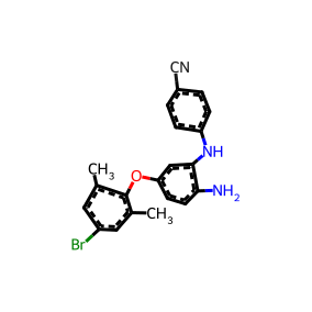 Cc1cc(Br)cc(C)c1Oc1ccc(N)c(Nc2ccc(C#N)cc2)c1